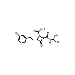 CCCC(CCC)NC(=O)N1C(=O)[C@H](CCC2=CC(Cl)=CCC2)C1C(=O)N=O